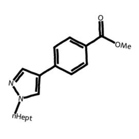 CCCCCCCn1cc(-c2ccc(C(=O)OC)cc2)cn1